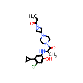 C=CC(=O)N1CC(N2CCN(C(=O)C(C)Nc3cc(C4CC4)c(Cl)cc3O)CC2)C1